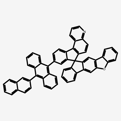 c1ccc2c(c1)-c1cc3oc4ccccc4c3cc1C21c2cc(-c3c4ccccc4c(-c4ccc5ccccc5c4)c4ccccc34)ccc2-c2c1ccc1ncccc21